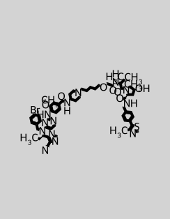 CC[C@@H]1c2c(C#N)ncn2-c2cnc(Nc3ccc(C(=O)NC4CCN(CCCCCOCC(=O)NC(C(=O)N5C[C@H](O)C[C@H]5C(=O)NCc5ccc(-c6scnc6C)cc5)C(C)(C)C)CC4)cc3OC)nc2N1Cc1ccc(Br)cc1